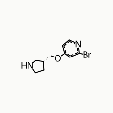 Brc1cc(OC[C@@H]2CCNC2)ccn1